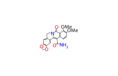 COc1ccc2c(C(N)=O)c3n(c(=O)c2c1OC)CCc1cc2c(cc1-3)OCO2